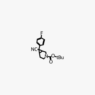 CC(C)(C)OC(=O)N1CCC2C(C1)C2(C#N)c1ccc(F)cc1